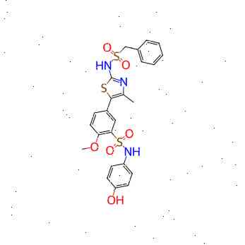 COc1ccc(-c2sc(NS(=O)(=O)Cc3ccccc3)nc2C)cc1S(=O)(=O)Nc1ccc(O)cc1